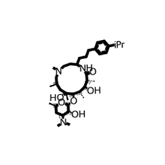 CC(C)c1ccc(CCCC2CCN(C)C[C@H](C)C[C@@](C)(O)[C@H](O[C@@H]3O[C@H](C)C[C@H](N(C)C)[C@H]3O)[C@@H](C)[C@H](O)[C@@H](C)C(=O)N2)cc1